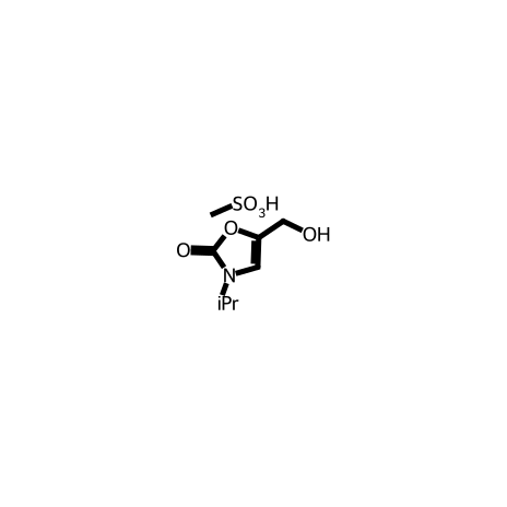 CC(C)n1cc(CO)oc1=O.CS(=O)(=O)O